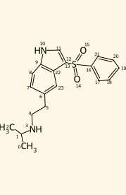 CC(C)NCCc1ccc2[nH]cc(S(=O)(=O)c3ccccc3)c2c1